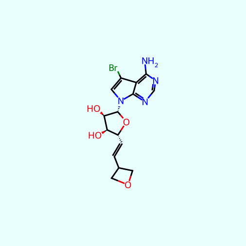 Nc1ncnc2c1c(Br)cn2[C@@H]1O[C@H](/C=C/C2COC2)[C@@H](O)[C@H]1O